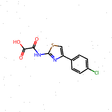 O=C(O)C(=O)Nc1nc(-c2ccc(Cl)cc2)cs1